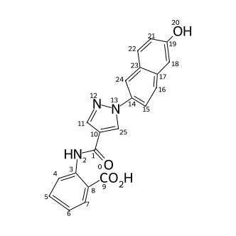 O=C(Nc1ccccc1C(=O)O)c1cnn(-c2ccc3cc(O)ccc3c2)c1